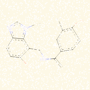 C=C(NCc1c(O)ccc2ncn(C)c12)c1ccc(O)c(C)c1